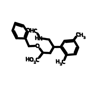 Cc1ccc(C)c(C(CNC=O)CC(OCc2ccccc2)C(=O)O)c1